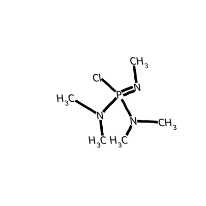 CN=P(Cl)(N(C)C)N(C)C